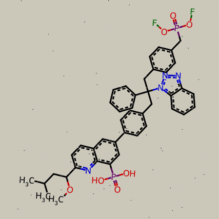 COC(CC(C)C)c1ccc2cc(-c3ccc(CC(Cc4ccc(CP(=O)(OF)OF)cc4)(c4ccccc4)n4nnc5ccccc54)cc3)cc(P(=O)(O)O)c2n1